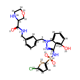 O=C(NCc1cccc(Cn2nc(NS(=O)(=O)c3ccc(Cl)s3)c3c(O)cccc32)c1)C1COCCN1